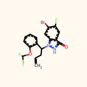 C=CCC(c1ccccc1OC(F)F)n1[nH]c(=O)c2cc(F)c(Br)cc21